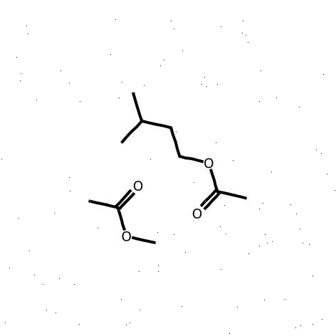 CC(=O)OCCC(C)C.COC(C)=O